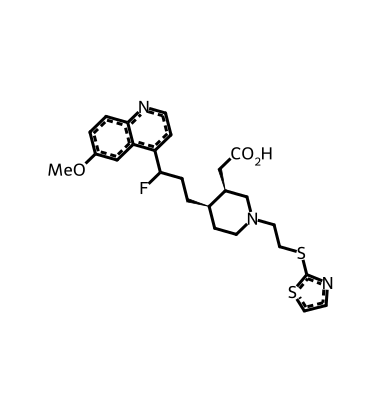 COc1ccc2nccc(C(F)CC[C@@H]3CCN(CCSc4nccs4)C[C@@H]3CC(=O)O)c2c1